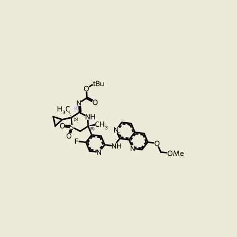 COCOc1cnc2c(Nc3cc([C@]4(C)CS(=O)(=O)[C@@](C)(C5CC5)/C(=N/C(=O)OC(C)(C)C)N4)c(F)cn3)nccc2c1